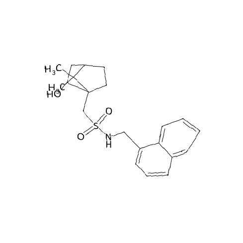 CC1(C)C2CCC1(CS(=O)(=O)NCc1cccc3ccccc13)C(O)C2